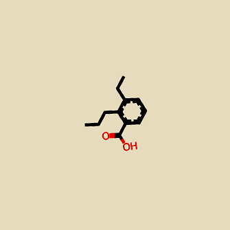 CCCc1c(CC)cccc1C(=O)O